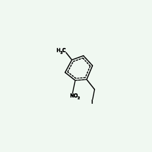 Cc1ccc(CI)c([N+](=O)[O-])c1